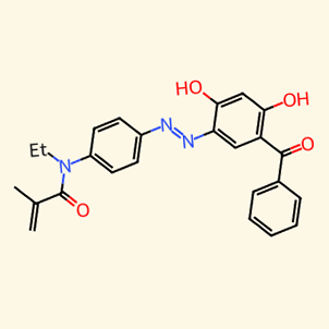 C=C(C)C(=O)N(CC)c1ccc(N=Nc2cc(C(=O)c3ccccc3)c(O)cc2O)cc1